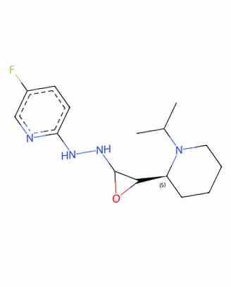 CC(C)N1CCCC[C@H]1C1OC1NNc1ccc(F)cn1